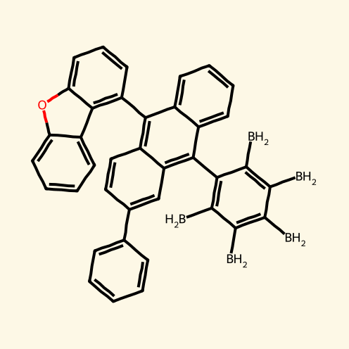 Bc1c(B)c(B)c(-c2c3ccccc3c(-c3cccc4oc5ccccc5c34)c3ccc(-c4ccccc4)cc23)c(B)c1B